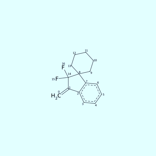 C=C1c2ccccc2C2(CCCCC2)C1(F)F